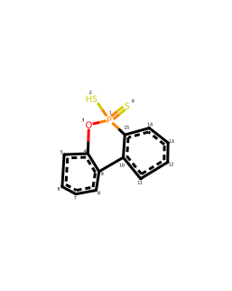 S=P1(S)Oc2ccccc2-c2ccccc21